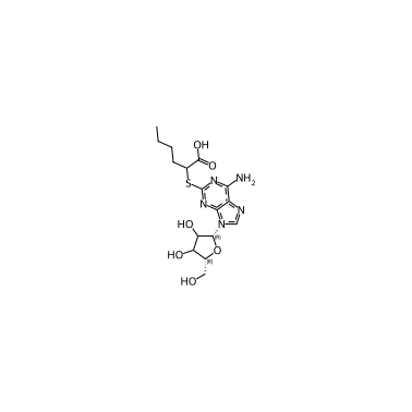 CCCCC(Sc1nc(N)c2ncn([C@@H]3O[C@H](CO)C(O)C3O)c2n1)C(=O)O